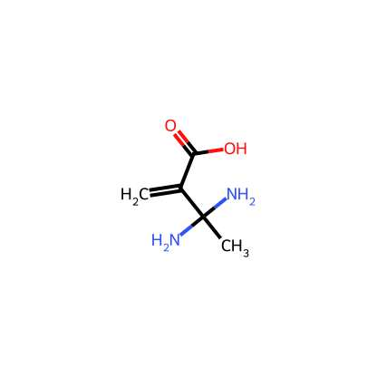 C=C(C(=O)O)C(C)(N)N